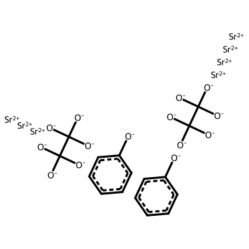 [O-]C([O-])([O-])C([O-])([O-])[O-].[O-]C([O-])([O-])C([O-])([O-])[O-].[O-]c1ccccc1.[O-]c1ccccc1.[Sr+2].[Sr+2].[Sr+2].[Sr+2].[Sr+2].[Sr+2].[Sr+2]